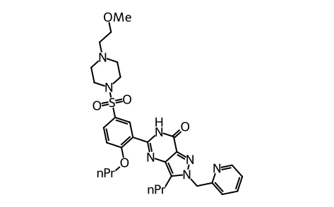 CCCOc1ccc(S(=O)(=O)N2CCN(CCOC)CC2)cc1-c1nc2c(CCC)n(Cc3ccccn3)nc2c(=O)[nH]1